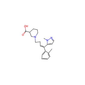 Cc1ccccc1C(=CCCN1CCCC(C(=O)O)C1)c1ccnn1C